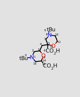 CC(C)(C)N1CC(CC2(C(=O)O)CN(C(C)(C)C)CCO2)OC(C(=O)O)C1